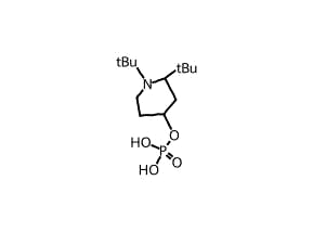 CC(C)(C)C1CC(OP(=O)(O)O)CCN1C(C)(C)C